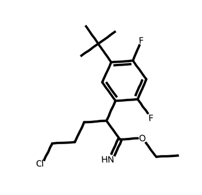 CCOC(=N)C(CCCCl)c1cc(C(C)(C)C)c(F)cc1F